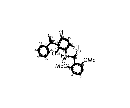 COc1cccc(OC)c1C(=O)[PH](=O)c1c(Cl)cc(Cl)c(C(=O)c2ccccc2)c1Cl